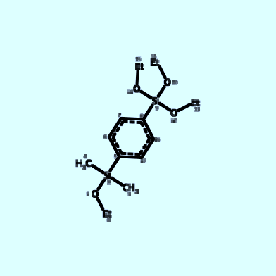 CCO[Si](C)(C)c1ccc([Si](OCC)(OCC)OCC)cc1